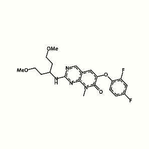 COCCC(CCOC)Nc1ncc2cc(Oc3ccc(F)cc3F)c(=O)n(C)c2n1